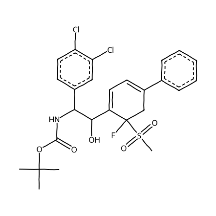 CC(C)(C)OC(=O)NC(c1ccc(Cl)c(Cl)c1)C(O)C1=CC=C(c2ccccc2)CC1(F)S(C)(=O)=O